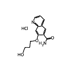 Cl.NC(=O)c1cc2cccnc2cc1OCCCO